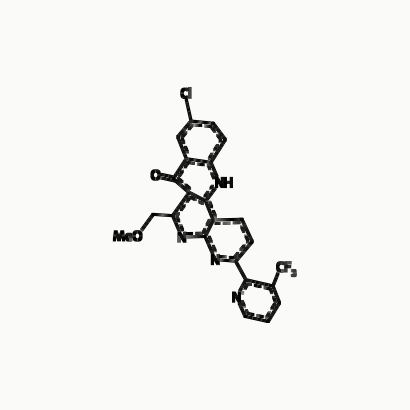 COCc1nc2nc(-c3ncccc3C(F)(F)F)ccc2c2[nH]c3ccc(Cl)cc3c(=O)c12